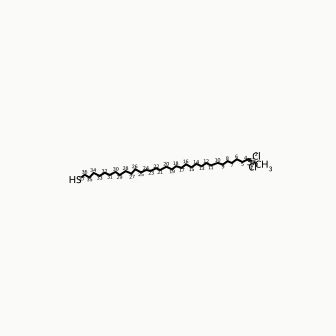 C[Si](Cl)(Cl)CCCCCCCCCCCCCCCCCCCCCCCCCCCCCCCCCS